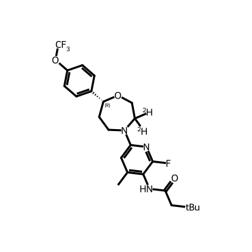 [2H]C1([2H])CO[C@@H](c2ccc(OC(F)(F)F)cc2)CCN1c1cc(C)c(NC(=O)CC(C)(C)C)c(F)n1